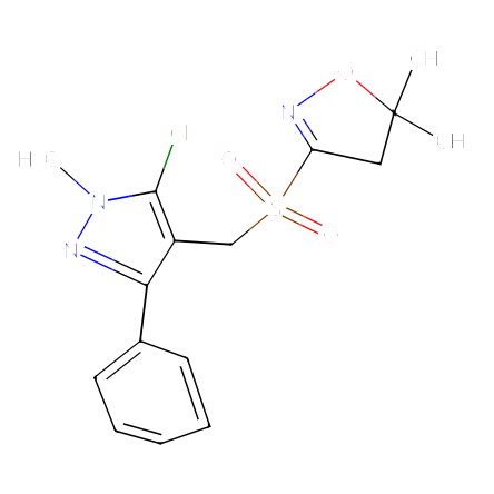 Cn1nc(-c2ccccc2)c(CS(=O)(=O)C2=NOC(C)(C)C2)c1Cl